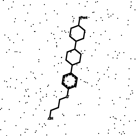 CCCCCC1CCC(C2CCC(c3ccc(OCCCO)cc3)CC2)CC1